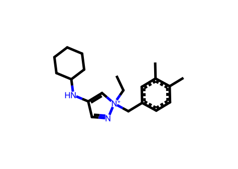 CC[N+]1(Cc2ccc(C)c(C)c2)C=C(NC2CCCCC2)C=N1